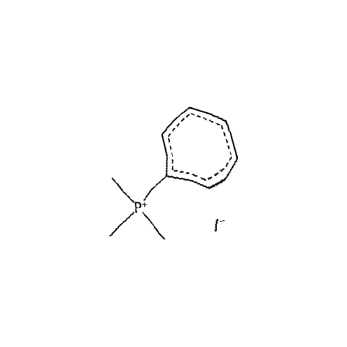 C[P+](C)(C)c1ccccc1.[I-]